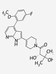 COc1ccc(F)cc1-c1ccnc2[nH]c(C3=CCN(C(=O)[C@@H](O)C(C)(C)O)CC3)cc12